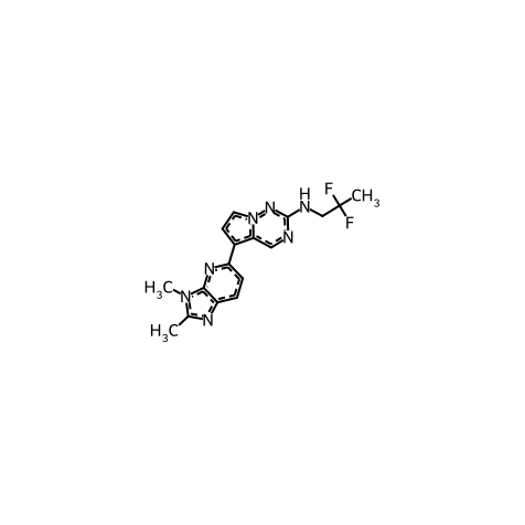 Cc1nc2ccc(-c3ccn4nc(NCC(C)(F)F)ncc34)nc2n1C